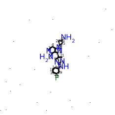 Nc1nccc2c1c(-c1cnc(Nc3cccc(F)c3)nc1)nn2C1CC(N)C1